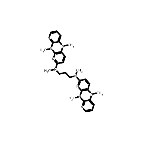 CN(CCCN(C)c1ccc2c(n1)N(C)c1ncccc1N2C)c1ccc2c(n1)N(C)c1ncccc1N2C